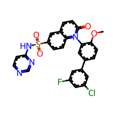 COc1ccc(-c2cc(F)cc(Cl)c2)cc1-n1c(=O)ccc2cc(S(=O)(=O)Nc3ccncn3)ccc21